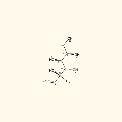 O=C[C@@](O)(F)[C@@H](O)[C@@H](O)[C@H](O)CO